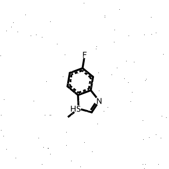 C[SH]1C=Nc2cc(F)ccc21